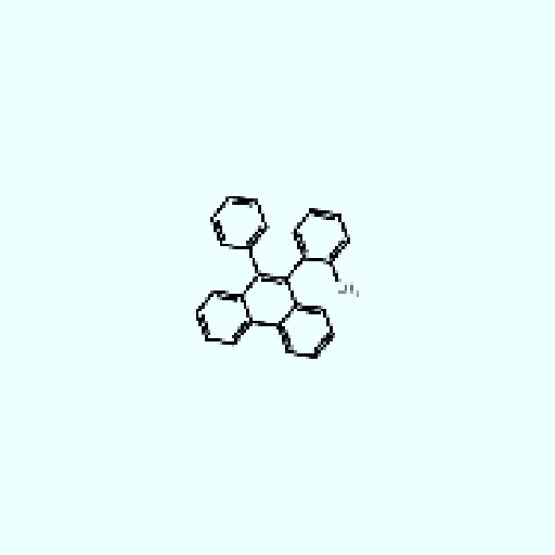 Cc1ccccc1-c1c(-c2ccccc2)c2ccccc2c2ccccc12